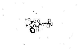 O=C(O)NC1(ONC(=O)OCC(Cl)(Cl)Cl)C=CCC1